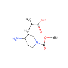 CC(C)(C)OC(=O)N1CCC(N)CC1.CC(C)C(=O)O